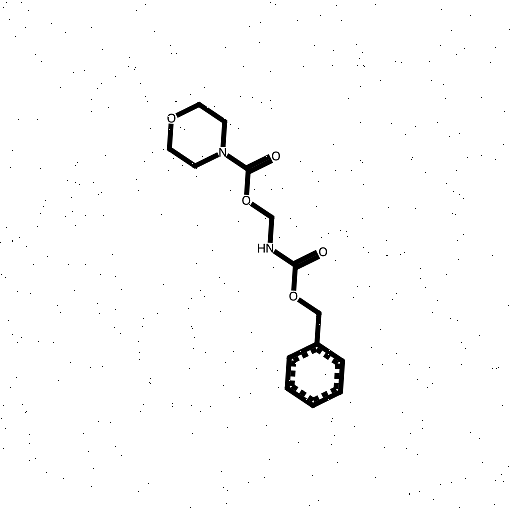 O=C(NCOC(=O)N1CCOCC1)OCc1ccccc1